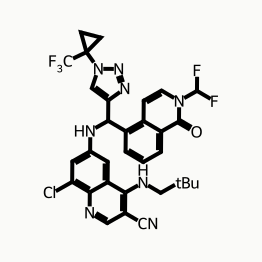 CC(C)(C)CNc1c(C#N)cnc2c(Cl)cc(NC(c3cn(C4(C(F)(F)F)CC4)nn3)c3cccc4c(=O)n(C(F)F)ccc34)cc12